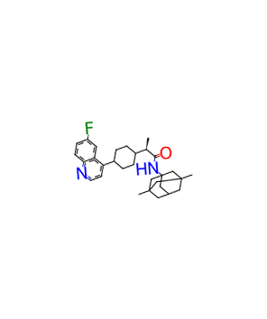 C[C@@H](C(=O)NC12CC3CC(C)(CC(C)(C3)C1)C2)C1CCC(c2ccnc3ccc(F)cc23)CC1